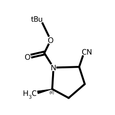 C[C@@H]1CCC(C#N)N1C(=O)OC(C)(C)C